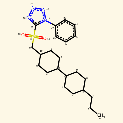 CCCC1CCC(C2CCC(CS(=O)(=O)c3nnnn3-c3ccccc3)CC2)CC1